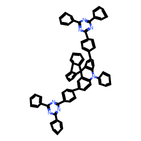 c1ccc(-c2nc(-c3ccccc3)nc(-c3ccc(-c4ccc5c(c4)C4(c6ccccc6-c6ccccc64)c4cc(-c6ccc(-c7nc(-c8ccccc8)nc(-c8ccccc8)n7)cc6)ccc4N5c4ccccc4)cc3)n2)cc1